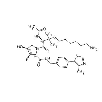 CC(=O)N[C@H](C(=O)N1C[C@H](O)[C@H](F)[C@H]1C(=O)NCc1ccc(-c2scnc2C)cc1)C(C)(C)SCCCCCCN